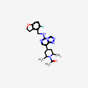 CC(=O)N1C(C)CC(c2cnc(NCc3c(F)ccc4c3CCO4)n3cnnc23)CC1C